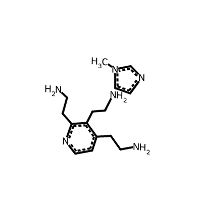 Cn1ccnc1.NCCc1ccnc(CCN)c1CCN